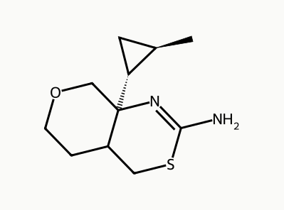 C[C@@H]1C[C@H]1C12COCCC1CSC(N)=N2